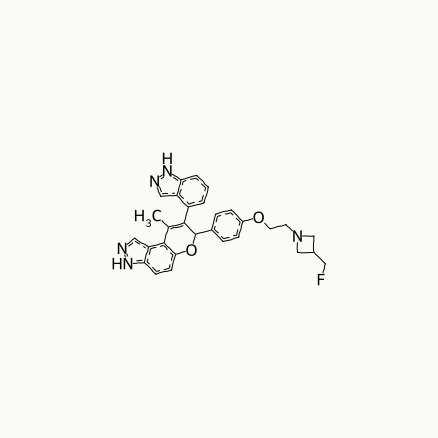 CC1=C(c2cccc3[nH]ncc23)C(c2ccc(OCCN3CC(CF)C3)cc2)Oc2ccc3[nH]ncc3c21